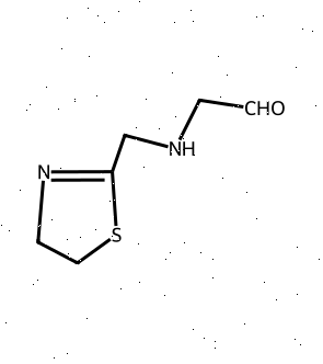 O=CCNCC1=NCCS1